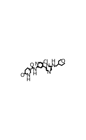 O=C1CC[C@@H](C(=O)Nc2cc(-c3cncc(NCC4CCOCC4)n3)c(Cl)cn2)CN1